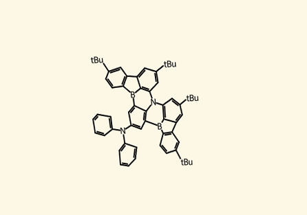 CC(C)(C)c1ccc2c(c1)-c1cc(C(C)(C)C)cc3c1B2c1cc(N(c2ccccc2)c2ccccc2)cc2c1N3c1cc(C(C)(C)C)cc3c1B2c1ccc(C(C)(C)C)cc1-3